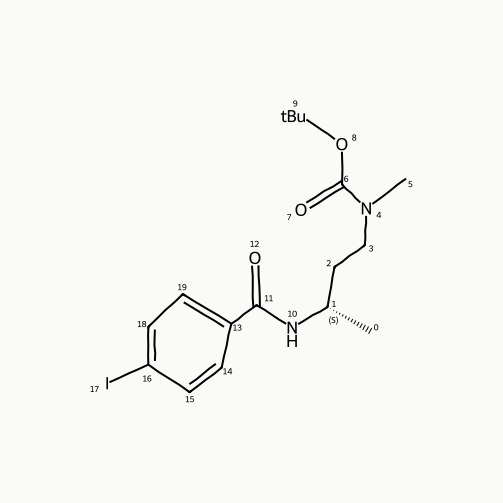 C[C@@H](CCN(C)C(=O)OC(C)(C)C)NC(=O)c1ccc(I)cc1